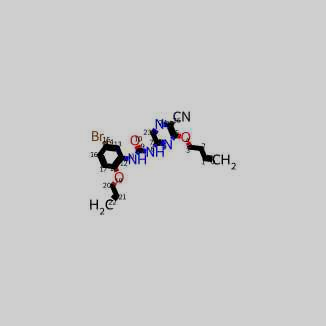 C=CCCOc1nc(NC(=O)Nc2cc(Br)ccc2OCC=C)cnc1C#N